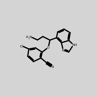 N#Cc1ccc(Cl)cc1OC(CCN)c1cccc2[nH]cnc12